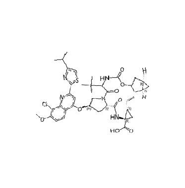 C=C[C@@H]1C[C@]1(NC(=O)[C@@H]1C[C@@H](Oc2cc(-c3nc(C(C)C)cs3)nc3c(Cl)c(OC)ccc23)CN1C(=O)C(NC(=O)OC1C[C@@H]2C[C@@H]2C1)C(C)(C)C)C(=O)O